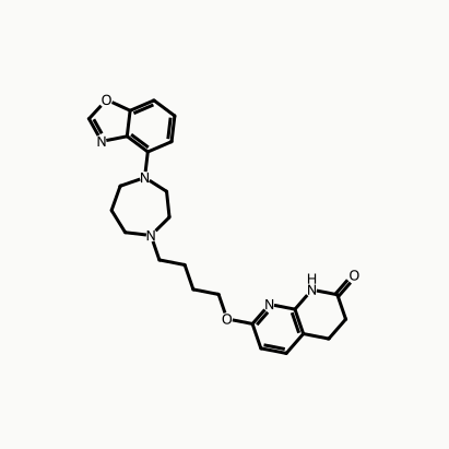 O=C1CCc2ccc(OCCCCN3CCCN(c4cccc5ocnc45)CC3)nc2N1